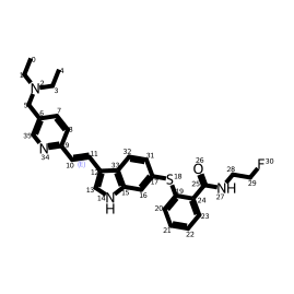 CCN(CC)Cc1ccc(/C=C/c2c[nH]c3cc(Sc4ccccc4C(=O)NCCF)ccc23)nc1